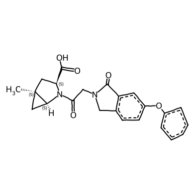 C[C@@]12C[C@@H]1N(C(=O)CN1Cc3ccc(Oc4ccccc4)cc3C1=O)[C@H](C(=O)O)C2